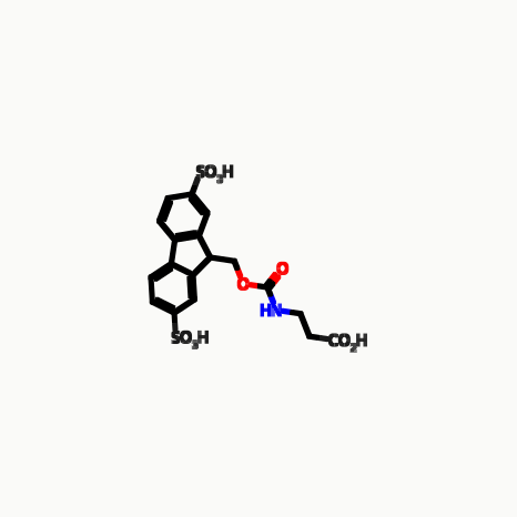 O=C(O)CCNC(=O)OCC1c2cc(S(=O)(=O)O)ccc2-c2ccc(S(=O)(=O)O)cc21